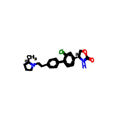 C[C@@H]1CCCN1CCc1ccc(-c2ccc([C@@H]3COC(=O)N3)cc2Cl)cc1